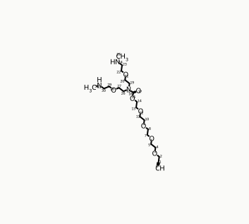 C#CCOCCOCCOCCOCCOC(=O)N(CCOCCNC)CCOCCNC